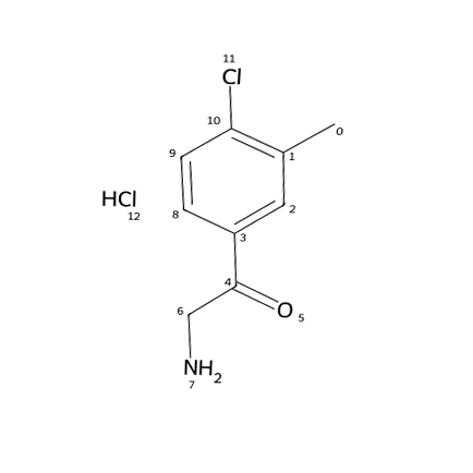 Cc1cc(C(=O)CN)ccc1Cl.Cl